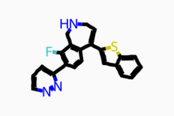 Fc1c(-c2cccnn2)ccc2c1CNCC=C2c1cc2ccccc2s1